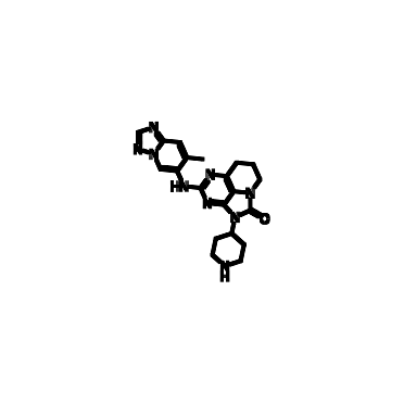 Cc1cc2ncnn2cc1Nc1nc2c3c(n1)n(C1CCNCC1)c(=O)n3CCC2